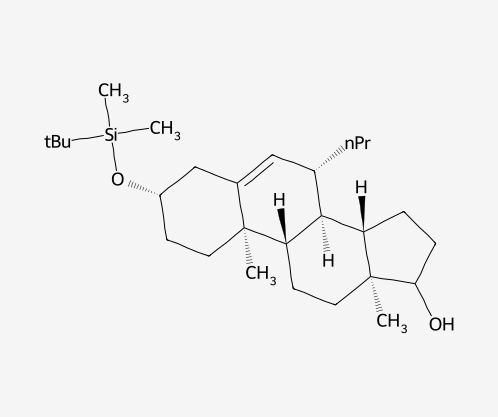 CCC[C@H]1C=C2C[C@@H](O[Si](C)(C)C(C)(C)C)CC[C@]2(C)[C@H]2CC[C@]3(C)C(O)CC[C@H]3[C@H]12